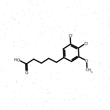 COc1cc(CCCCC(=O)O)cc(Cl)c1Cl